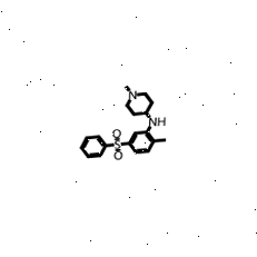 Cc1ccc(S(=O)(=O)c2ccccc2)cc1NC1CCN(C)CC1